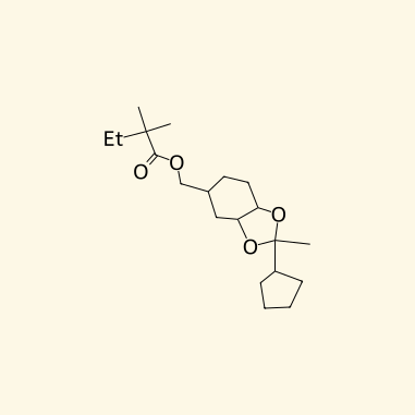 CCC(C)(C)C(=O)OCC1CCC2OC(C)(C3CCCC3)OC2C1